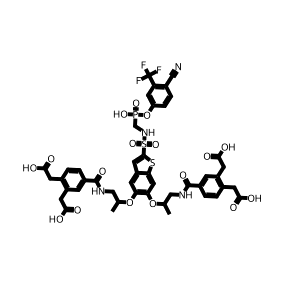 CC(CNC(=O)c1ccc(CC(=O)O)c(CC(=O)O)c1)Oc1cc2cc(S(=O)(=O)NCP(=O)(O)Oc3ccc(C#N)c(C(F)(F)F)c3)sc2cc1OC(C)CNC(=O)c1ccc(CC(=O)O)c(CC(=O)O)c1